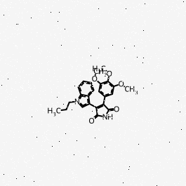 CCCn1cc(C2=C(c3cc(OC)c(OC)c(OC)c3)C(=O)NC2=O)c2ccccc21